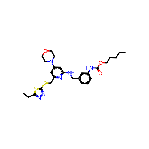 CCCCCOC(=O)Nc1cccc(CNc2cc(N3CCOCC3)cc(CSc3nnc(CC)s3)n2)c1